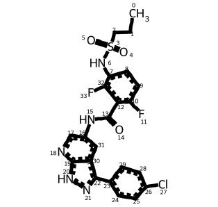 CCCS(=O)(=O)Nc1ccc(F)c(C(=O)Nc2cnc3[nH]nc(-c4ccc(Cl)cc4)c3c2)c1F